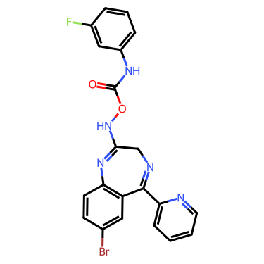 O=C(Nc1cccc(F)c1)ONC1=Nc2ccc(Br)cc2C(c2ccccn2)=NC1